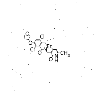 CCc1cc(C)[nH]c(=O)c1CN1CCc2c(Cl)cc(O[C@H]3CCOC3)c(Cl)c2C1=O